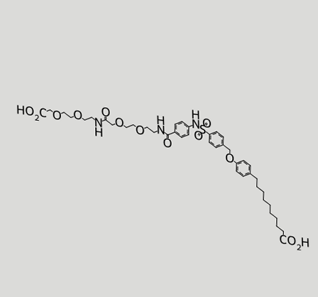 O=C(O)CCCCCCCCCc1ccc(OCc2ccc(S(=O)(=O)Nc3ccc(C(=O)NCCOCCOCC(=O)NCCOCCOCC(=O)O)cc3)cc2)cc1